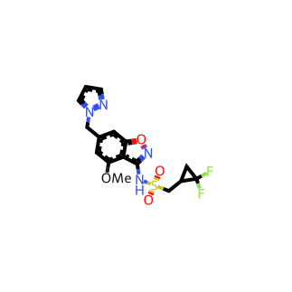 COc1cc(Cn2cccn2)cc2onc(NS(=O)(=O)CC3CC3(F)F)c12